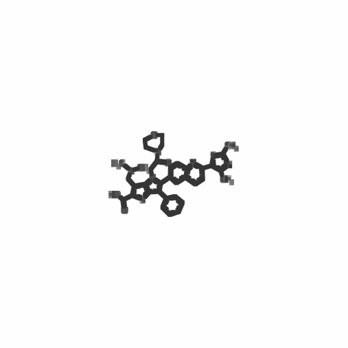 Cc1nc(C)c(-c2ccc3cc(-c4c(-c5ccccc5)c5sc(C(=O)O)c(CN(C)C)c5n4CC(=O)N4CCOCC4)ccc3n2)s1